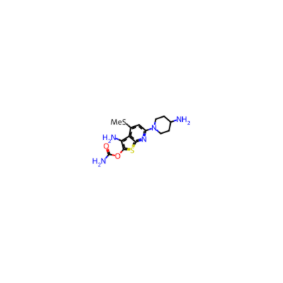 CSc1cc(N2CCC(N)CC2)nc2sc(OC(N)=O)c(N)c12